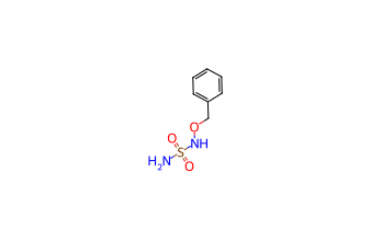 NS(=O)(=O)NOCc1ccccc1